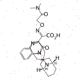 CN(C)C(=O)CON=C(C(=O)O)c1nc2ccccc2n([C@H]2C[C@H]3CCC[C@@H](C2)N3C2CC3CCCC(C3)C2)c1=O